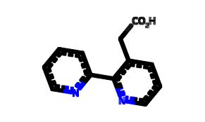 O=C(O)Cc1cccnc1-c1ccccn1